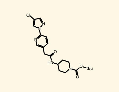 CC(C)(C)OC(=O)N1CCC(NC(=O)Cc2ccc(-n3cc(Cl)cn3)nc2)CC1